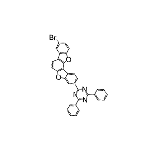 Brc1ccc2oc3c(ccc4oc5cc(-c6nc(-c7ccccc7)nc(-c7ccccc7)n6)ccc5c43)c2c1